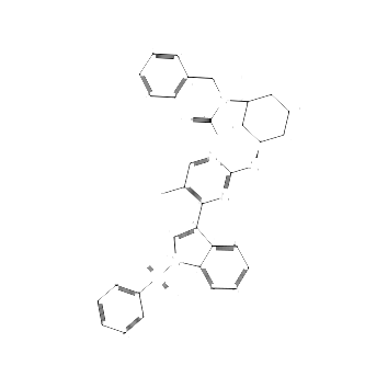 C[C@]1(N(Cc2ccccc2)C(=O)O)CCC[C@@H](Nc2ncc(Cl)c(-c3cn(S(=O)(=O)c4ccccc4)c4ccccc34)n2)C1